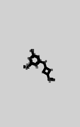 COC1CC(Oc2cc(Cl)nc(C)n2)C1